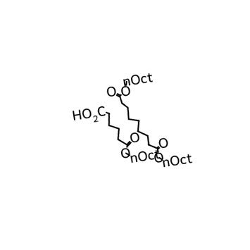 CCCCCCCCOC(=O)CCCCC(=O)O.CCCCCCCCOC(=O)CCCCCCCC(=O)OCCCCCCCC